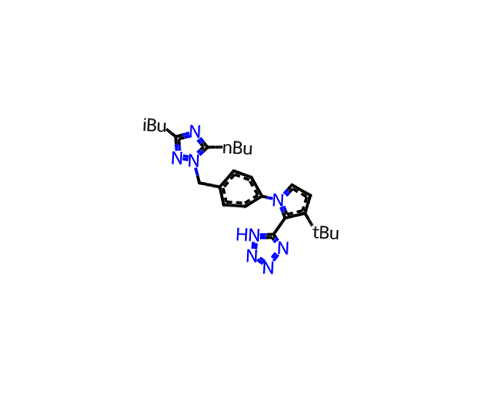 CCCCc1nc(C(C)CC)nn1Cc1ccc(-n2ccc(C(C)(C)C)c2-c2nnn[nH]2)cc1